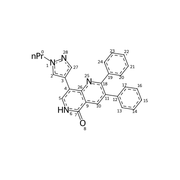 CCCn1cc(-c2c[nH]c(=O)c3cc(-c4ccccc4)c(-c4cc[c]cc4)nc23)cn1